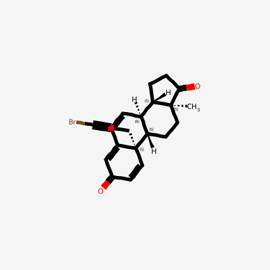 C[C@]12CC[C@H]3[C@@H](C=CC4=CC(=O)C=C[C@@]43CC#CBr)[C@@H]1CCC2=O